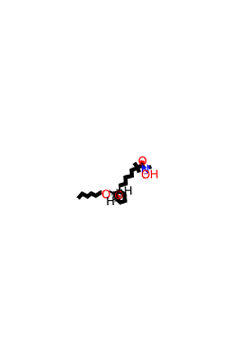 CCCCCCOC[C@H]1[C@@H](CCCCCC(C)(C)C(=O)N(C)O)[C@H]2CC[C@@H]1O2